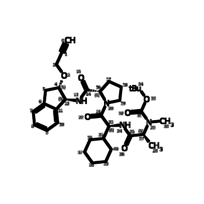 C#CCO[C@H]1Cc2ccccc2[C@@H]1NC(=O)[C@@H]1CCCN1C(=O)[C@@H](NC(=O)[C@H](C)N(C)C(=O)OC(C)(C)C)C1CCCCC1